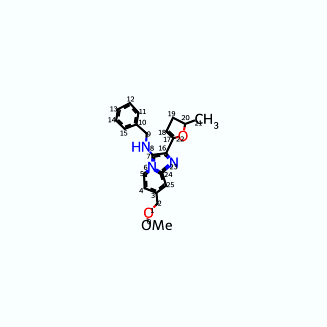 COOCc1ccn2c(NCc3ccccc3)c(C3=CCC(C)O3)nc2c1